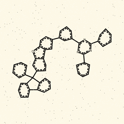 c1ccc(-c2nc(-c3ccccc3)nc(-c3cccc(-c4ccc5oc6cc(C7(c8ccccc8)c8ccccc8-c8ccccc87)ccc6c5c4)c3)n2)cc1